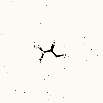 [2H]N(C)C(=O)CC